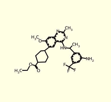 CCOC(=O)C1CCC(c2cc3c(NC(C)c4cc(N)cc(C(F)(F)F)c4)nc(C)nc3cc2OC)CC1